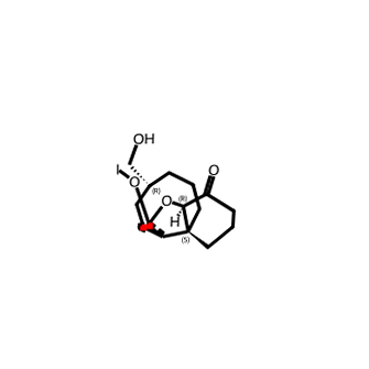 O=C1CCC[C@@]23CCC[C@@H](CO)Cc4ccc(OI)c(c42)O[C@@H]13